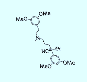 COc1cc(CCN(C)CCC[C@@](C#N)(c2cc(OC)cc(OC)c2)C(C)C)cc(OC)c1